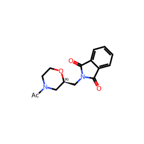 CC(=O)N1CCO[C@@H](CN2C(=O)c3ccccc3C2=O)C1